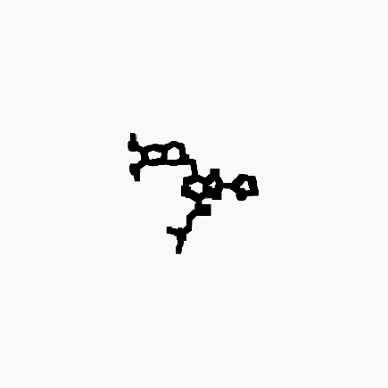 COc1cc2c(cc1OC)CN(Cc1cnc(NCCN(C)C)n3nc(-c4ccco4)nc13)CC2